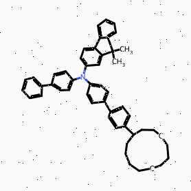 CC1(C)c2ccccc2-c2ccc(N(c3ccc(-c4ccccc4)cc3)c3ccc(-c4ccc(C5CCCCCCCCCCC5)cc4)cc3)cc21